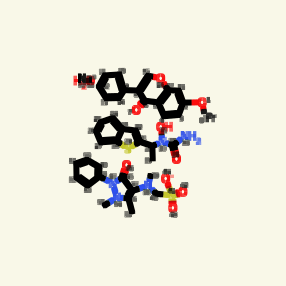 CC(C)Oc1ccc2c(=O)c(-c3ccccc3)coc2c1.CC(c1cc2ccccc2s1)N(O)C(N)=O.Cc1c(N(C)CS(=O)(=O)[O-])c(=O)n(-c2ccccc2)n1C.O.[Na+]